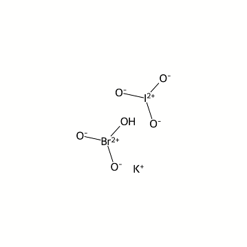 [K+].[O-][Br+2]([O-])O.[O-][I+2]([O-])[O-]